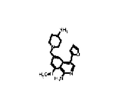 COc1cc(CN2CCC(N)CC2)cc2c(-c3ccco3)cnc(N)c12